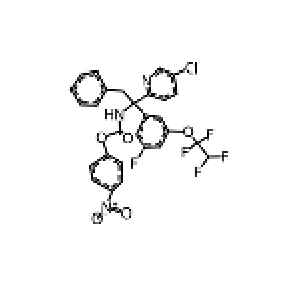 O=C(NC(Cc1ccccc1)(c1cc(F)cc(OC(F)(F)C(F)F)c1)c1ccc(Cl)cn1)Oc1ccc([N+](=O)[O-])cc1